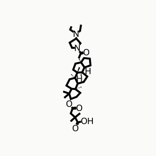 CCN(CC)[C@@H]1CCN(C(=O)C[C@]23CCC[C@@H]2[C@H]2CCC4[C@@]5(C)CC[C@H](OC(=O)CC(C)(C)C(=O)O)C(C)(C)C5CC[C@@]4(C)[C@]2(C)CC3)C1